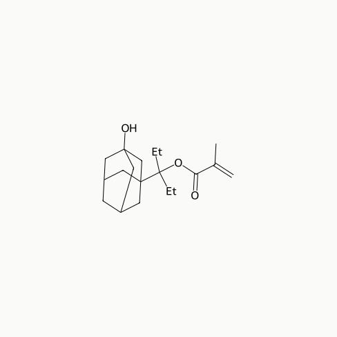 C=C(C)C(=O)OC(CC)(CC)C12CC3CC(CC(O)(C3)C1)C2